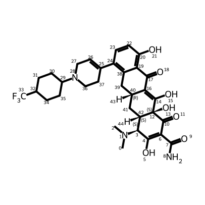 CN(C)[C@@H]1C(O)=C(C(N)=O)C(=O)[C@@]2(O)C(O)=C3C(=O)c4c(O)ccc(C5=CCN(C6CCC(C(F)(F)F)CC6)CC5)c4C[C@H]3C[C@@H]12